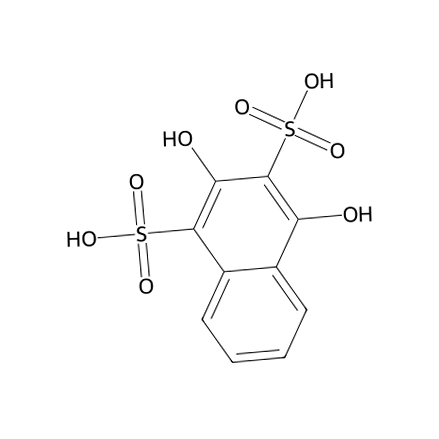 O=S(=O)(O)c1c(O)c(S(=O)(=O)O)c2ccccc2c1O